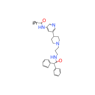 CC(C)C(=O)Nc1cncc(C2CCN(CCCNC(=O)C(c3ccccc3)c3ccccc3)CC2)c1